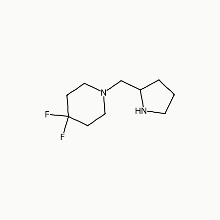 FC1(F)CCN(CC2CCCN2)CC1